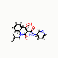 CC(C)Cn1c(=O)c(C(=O)Nc2cccnc2)c(O)c2ccccc21